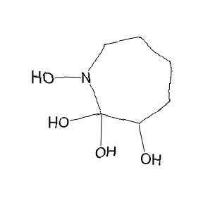 OC1CCCCN(O)C1(O)O